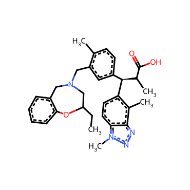 CCC1CN(Cc2cc([C@H](c3ccc4c(nnn4C)c3C)C(C)C(=O)O)ccc2C)Cc2ccccc2O1